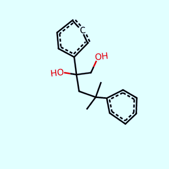 CC(C)(CC(O)(CO)c1ccccc1)c1ccccc1